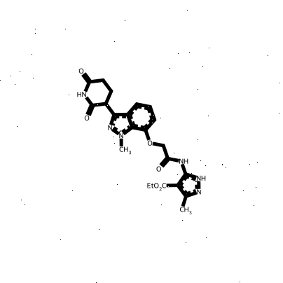 CCOC(=O)c1c(C)n[nH]c1NC(=O)COc1cccc2c(C3CCC(=O)NC3=O)nn(C)c12